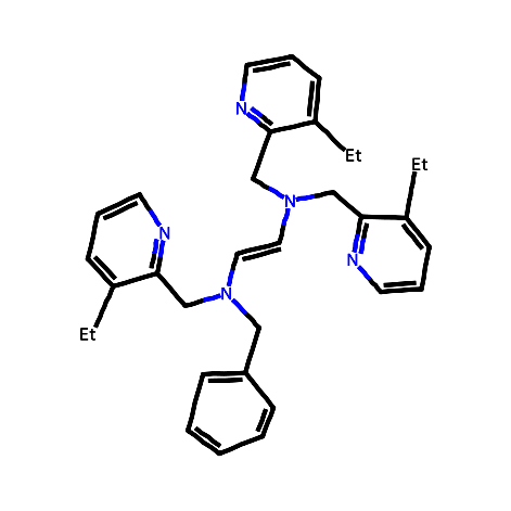 CCc1cccnc1CN(/C=C/N(Cc1ncccc1CC)Cc1ncccc1CC)Cc1ccccc1